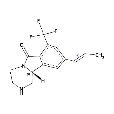 C/C=C/c1cc2c(c(C(F)(F)F)c1)C(=O)N1CCNC[C@@H]21